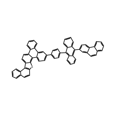 c1ccc2c(c1)ccc1cc(-c3c4ccccc4c(-c4ccc(-c5ccc6c(c5)c5ccccc5c5ccc7c(sc8ccc9ccccc9c87)c56)cc4)c4ccccc34)ccc12